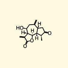 C=C1C(=O)O[C@H]2[C@H]1[C@@H](O)CC(=C)[C@@H]1CC(=O)[C@@H](C)[C@H]21